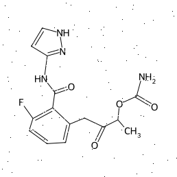 CC(OC(N)=O)C(=O)Cc1cccc(F)c1C(=O)Nc1cc[nH]n1